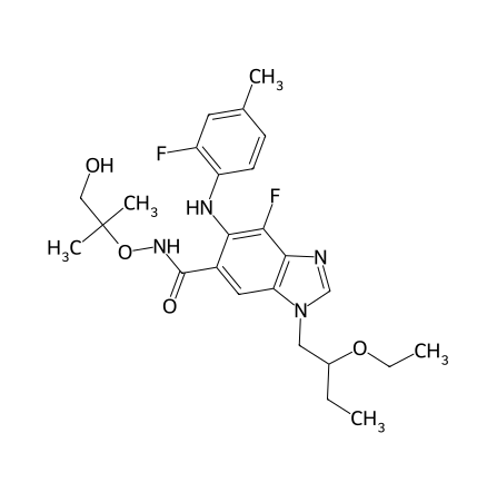 CCOC(CC)Cn1cnc2c(F)c(Nc3ccc(C)cc3F)c(C(=O)NOC(C)(C)CO)cc21